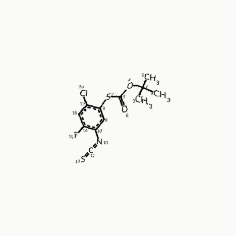 CC(C)(C)OC(=O)Sc1cc(N=C=S)c(F)cc1Cl